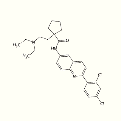 CCN(CC)CCC1(C(=O)Nc2ccc3nc(-c4ccc(Cl)cc4Cl)ccc3c2)CCCC1